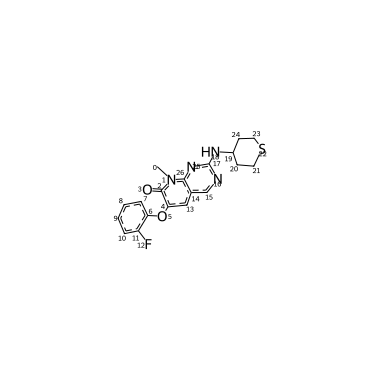 Cn1c(=O)c(Oc2ccccc2F)cc2cnc(NC3CCSCC3)nc21